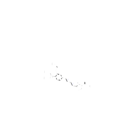 C=CCc1cc(/C=C/C=C/C2=NC(C(=O)O)CS2)ccc1N(C)C